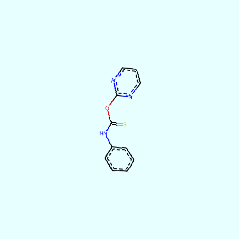 S=C(Nc1ccccc1)Oc1ncccn1